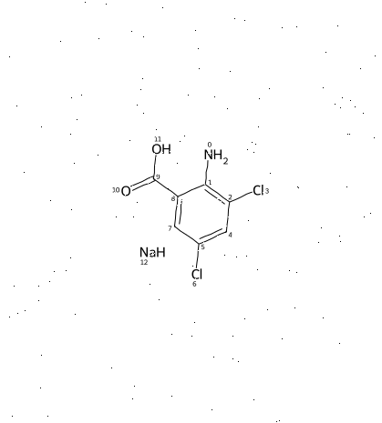 Nc1c(Cl)cc(Cl)cc1C(=O)O.[NaH]